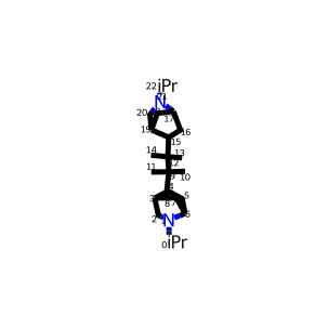 CC(C)N1CC2CCC1CC2C(C)(C)C(C)(C)C1CC2CC1CN2C(C)C